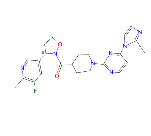 Cc1ncc([C@@H]2CCON2C(=O)C2CCN(c3nccc(-n4ccnc4C)n3)CC2)cc1F